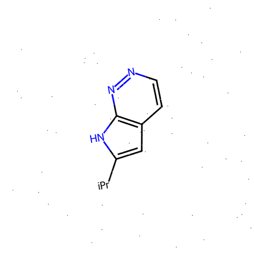 CC(C)c1cc2ccnnc2[nH]1